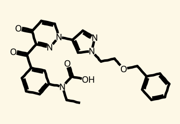 CCN(C(=O)O)c1cccc(C(=O)c2nn(-c3cnn(CCOCc4ccccc4)c3)ccc2=O)c1